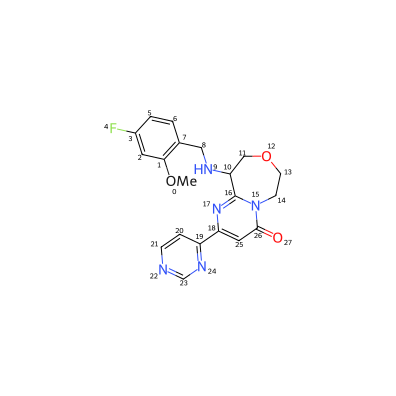 COc1cc(F)ccc1CNC1COCCn2c1nc(-c1ccncn1)cc2=O